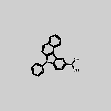 OB(O)c1ccc2c(c1)c1c3ccccc3ccc1n2-c1ccccc1